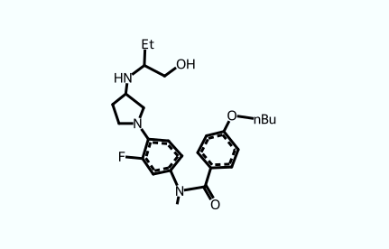 CCCCOc1ccc(C(=O)N(C)c2ccc(N3CCC(NC(CC)CO)C3)c(F)c2)cc1